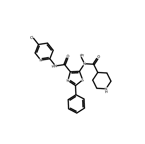 CC(C)N(C(=O)C1CCNCC1)c1sc(-c2ccccc2)nc1C(=O)Nc1ccc(Cl)cn1